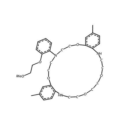 COCCOc1ccccc1N1CCOc2cc(C)ccc2NCCOCCOCCNc2ccc(C)cc2OCC1